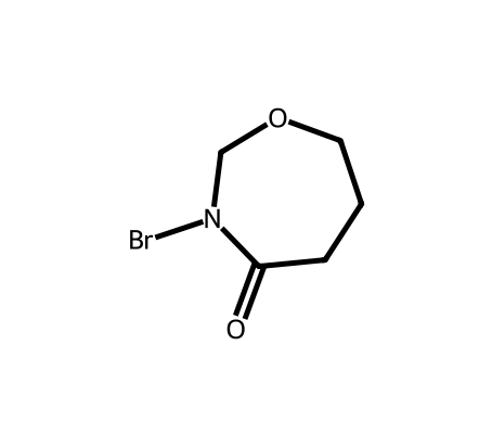 O=C1CCCOCN1Br